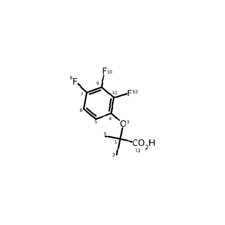 CC(C)(Oc1ccc(F)c(F)c1F)C(=O)O